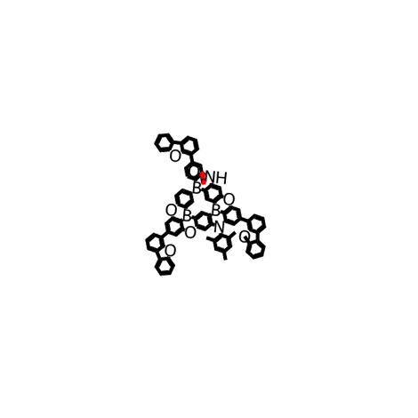 Cc1cc(C)c(N2c3cc4c(cc3B3c5cc6c(cc5Oc5cc(-c7cccc8c7oc7ccccc78)cc2c53)Nc2cc(-c3cccc5c3oc3ccccc35)cc3c2B6c2ccccc2O3)B2c3ccccc3Oc3cc(-c5cccc6c5oc5ccccc56)cc(c32)O4)c(C)c1